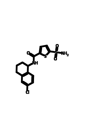 NS(=O)(=O)c1ccc(C(=O)NC2CCCc3cc(Cl)ccc32)s1